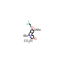 CCOC(=O)c1cn2c(cc1=O)-c1cc(OC)c(OCC=C(F)F)cc1CC2C(C)(C)C